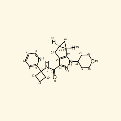 O=C(NC1(c2ccccn2)CCC1)c1nn(C2CCOCC2)c2c1C[C@H]1C[C@@H]21